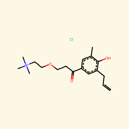 C=CCc1cc(C(=O)CCOCC[N+](C)(C)C)cc(C)c1O.[Cl-]